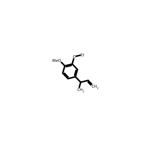 C=C[C](C)c1ccc(OC)c(OCC)c1